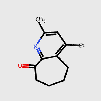 CCc1cc(C)nc2c1CCCCC2=O